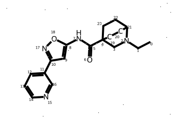 CCN1CC2(C(=O)Nc3cc(-c4cccnc4)no3)CCC1CC2